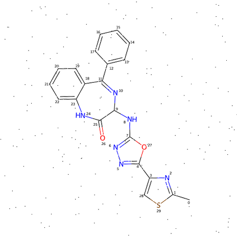 Cc1nc(-c2nnc(NC3N=C(c4ccccc4)c4ccccc4NC3=O)o2)cs1